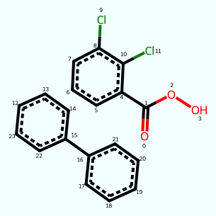 O=C(OO)c1cccc(Cl)c1Cl.c1ccc(-c2ccccc2)cc1